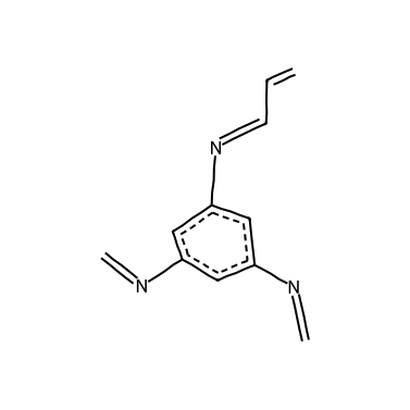 C=CC=Nc1cc(N=C)cc(N=C)c1